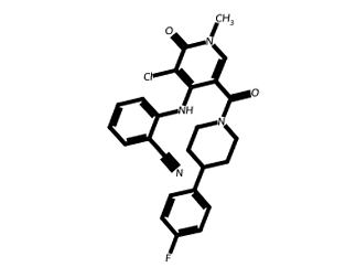 Cn1cc(C(=O)N2CCC(c3ccc(F)cc3)CC2)c(Nc2ccccc2C#N)c(Cl)c1=O